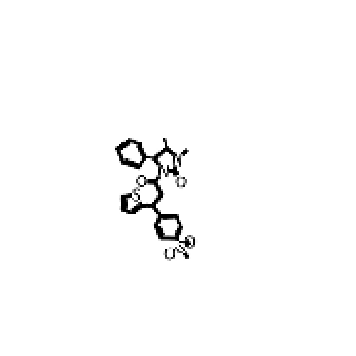 C[C@@H]1[C@H](c2ccccc2)N(C(=O)CC(c2ccc(S(C)(=O)=O)cc2)c2cccs2)C(=O)N1C